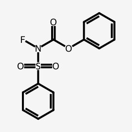 O=C(Oc1ccccc1)N(F)S(=O)(=O)c1ccccc1